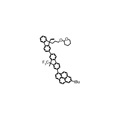 C=CC1(CCCOC2CCCCO2)c2ccccc2-c2ccc(-c3ccc4c(c3)C(C)(C(F)(F)F)c3cc(-c5ccc6ccc7cc(C(C)(C)C)cc8ccc5c6c78)ccc3-4)cc21